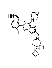 Fc1ccc2[nH]ccc2c1-c1nc(N2CCOCC2)c2sc(CN3CC[C@H](N4CCC4)[C@@H](I)C3)cc2n1